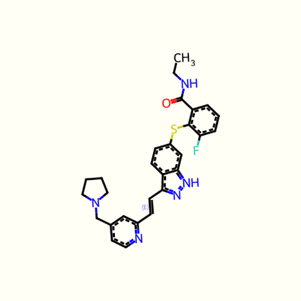 CCNC(=O)c1cccc(F)c1Sc1ccc2c(/C=C/c3cc(CN4CCCC4)ccn3)n[nH]c2c1